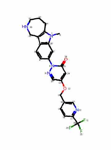 Cn1c2c(c3ccc(-n4ncc(OCc5ccc(C(F)(F)F)nc5)cc4=O)cc31)CNCCC2